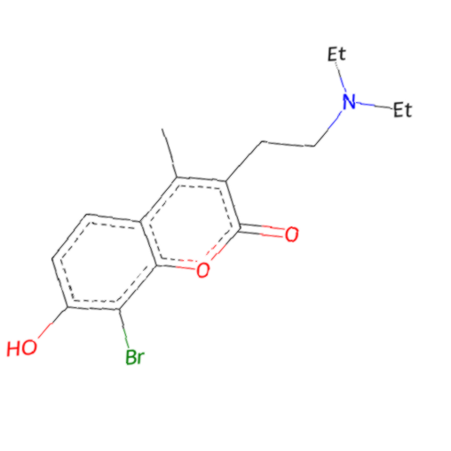 CCN(CC)CCc1c(C)c2ccc(O)c(Br)c2oc1=O